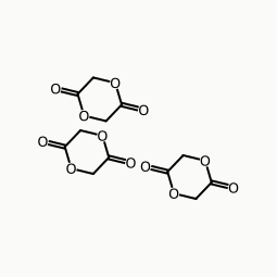 O=C1COC(=O)CO1.O=C1COC(=O)CO1.O=C1COC(=O)CO1